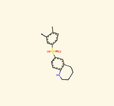 Cc1ccc(S(=O)(=O)c2ccc3c(c2)CCCCN3)cc1C